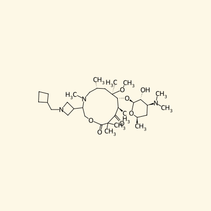 CO[C@]1(C)C[C@@H](C)CN(C)C(C2CN(CC3CCC3)C2)COC(=O)C(C)(C)C(=O)[C@H](C)[C@H]1O[C@@H]1O[C@H](C)C[C@H](N(C)C)[C@H]1O